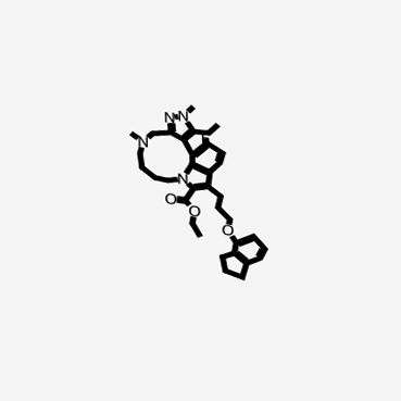 CCOC(=O)c1c(CCCOc2cccc3c2CCC3)c2ccc(F)c3c2n1CCCCN(C)Cc1nn(C)c(CC)c1-3